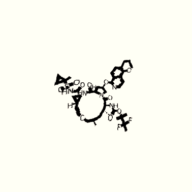 C[C@H]1CC/C=C\[C@@H]2C[C@@]2(C(=O)NS(=O)(=O)C2(C)CC2)NC(=O)[C@@H]2C[C@@H](Oc3nccc4c5c(ccc34)CCCO5)CN2C(=O)[C@@H](NC(=O)OC(C)(C)C(C)(F)F)[C@H](C)C1